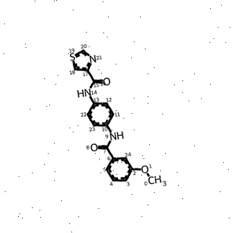 COc1cccc(C(=O)Nc2ccc(NC(=O)c3cscn3)cc2)c1